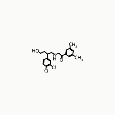 Cc1cc(C)cc(C(=O)CNCC(CCO)c2ccc(Cl)c(Cl)c2)c1